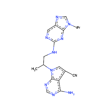 CC(C)n1cnc2cnc(NCC(C)n3cc(C#N)c4c(N)ncnc43)nc21